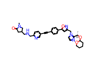 C[C@H](OC1CCCCO1)c1nccn1Cc1cc(-c2ccc(C#Cc3ccc(CNCC4CC(=O)N(C)C4)nc3)cc2)on1